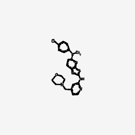 CN(c1ccc(Cl)cc1)c1ccc2nc(Nc3cc(CN4CCOCC4)ccn3)sc2n1